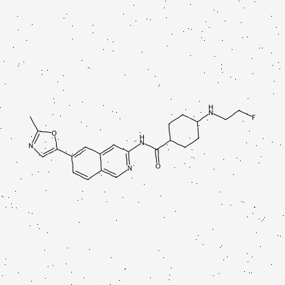 Cc1ncc(-c2ccc3cnc(NC(=O)C4CCC(NCCF)CC4)cc3c2)o1